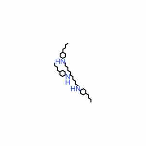 CCCCC1CCC(NCCCCCC(CCCCCNC2CCC(CCCC)CC2)NC2CCC(CCCC)CC2)CC1